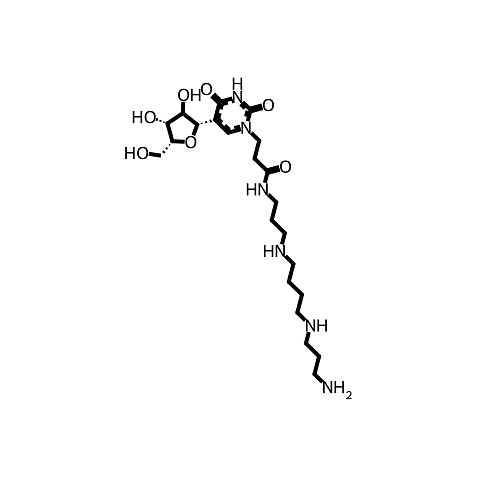 NCCCNCCCCNCCCNC(=O)CCn1cc([C@@H]2O[C@H](CO)[C@H](O)C2O)c(=O)[nH]c1=O